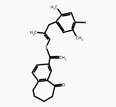 C=C(S/C=C(\C)Cc1cc(C)c(I)cc1C)c1ccc2c(c1)C(=O)CCCC2